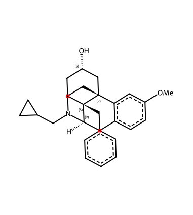 COc1ccc2c(c1)[C@]13CCN(CC4CC4)[C@H](C2)[C@]1(Cc1ccccc1)CC[C@H](O)C3